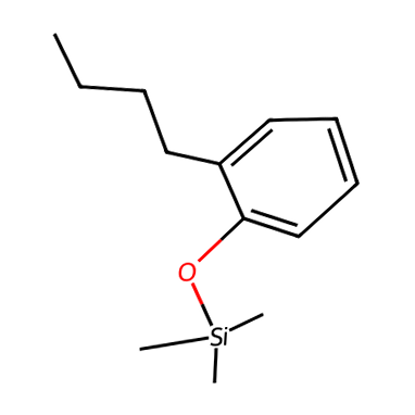 CCCCc1ccccc1O[Si](C)(C)C